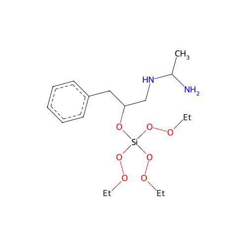 CCOO[Si](OOCC)(OOCC)OC(CNC(C)N)Cc1ccccc1